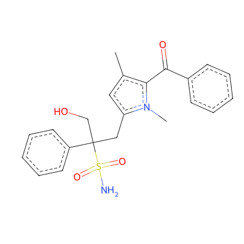 Cc1cc(CC(CO)(c2ccccc2)S(N)(=O)=O)n(C)c1C(=O)c1ccccc1